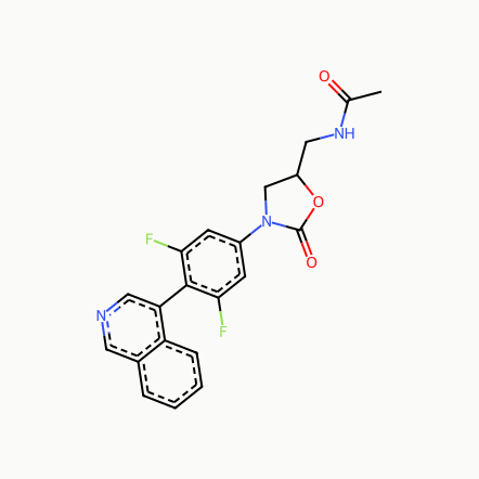 CC(=O)NCC1CN(c2cc(F)c(-c3cncc4ccccc34)c(F)c2)C(=O)O1